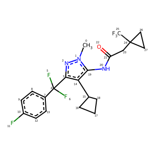 Cn1nc(C(F)(F)c2ccc(F)cc2)c(C2CCC2)c1NC(=O)CC1(C(F)(F)F)CC1